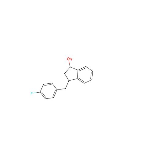 OC1CC(Cc2ccc(F)cc2)c2ccccc21